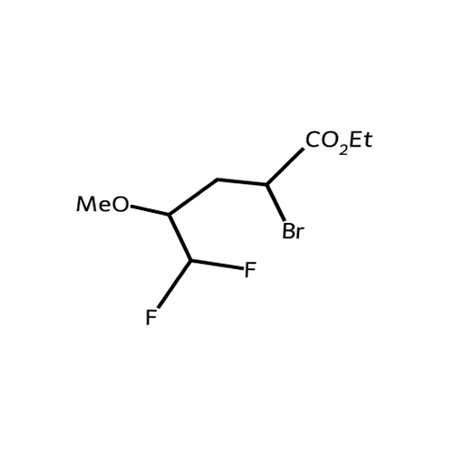 CCOC(=O)C(Br)CC(OC)C(F)F